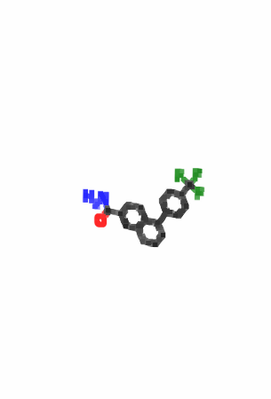 NC(=O)c1ccc2c(-c3ccc(C(F)(F)F)cc3)cccc2c1